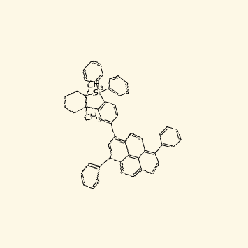 CC12CCCCC1(C)[Si](c1ccccc1)(c1ccccc1)c1ccc(-c3cc(-c4ccccc4)c4ccc5ccc(-c6ccccc6)c6ccc3c4c56)cc12